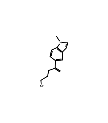 C=C(CCCO)c1ccc2c(ccn2C)c1